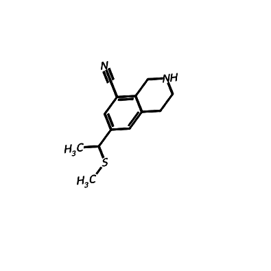 CSC(C)c1cc(C#N)c2c(c1)CCNC2